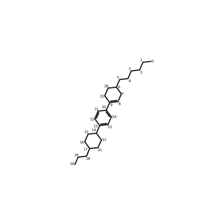 CCCCCCC1CC=C(c2ccc(C3CCC(CCC)CC3)cc2)CC1